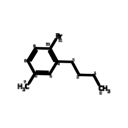 CCCCc1cc(C)ccc1Br